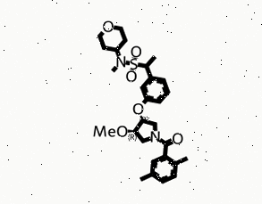 CO[C@@H]1CN(C(=O)c2cc(C)ccc2C)C[C@H]1Oc1cccc(C(C)S(=O)(=O)N(C)C2CCOCC2)c1